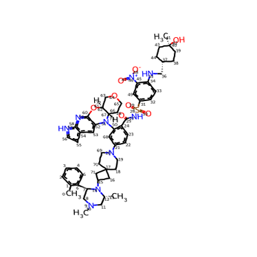 Cc1ccccc1[C@@H]1CN(C)C[C@@H](C)N1C1CC2(CCN(c3ccc(C(=O)NS(=O)(=O)c4ccc(NC[C@H]5CC[C@](C)(O)CC5)c([N+](=O)[O-])c4)c(N4c5cc6cc[nH]c6nc5O[C@H]5COCC[C@@H]54)c3)CC2)C1